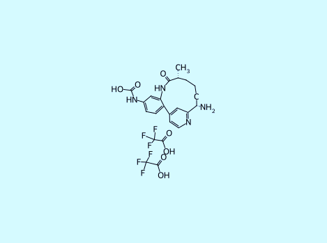 C[C@@H]1CCC[C@H](N)c2cc(ccn2)-c2ccc(NC(=O)O)cc2NC1=O.O=C(O)C(F)(F)F.O=C(O)C(F)(F)F